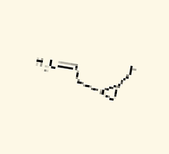 C=CCC1CC1F